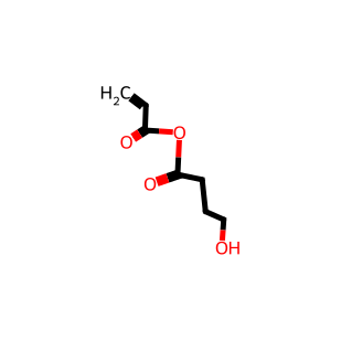 C=CC(=O)OC(=O)CCCO